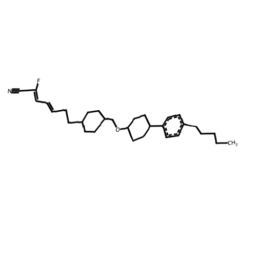 CCCCCc1ccc(C2CCC(OCC3CCC(CCC=CC=C(F)C#N)CC3)CC2)cc1